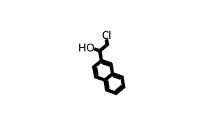 OC(CCl)c1ccc2ccccc2c1